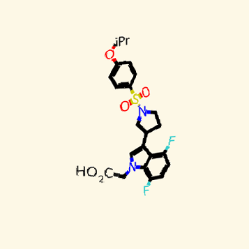 CC(C)Oc1ccc(S(=O)(=O)N2CCC(c3cn(CC(=O)O)c4c(F)ccc(F)c34)C2)cc1